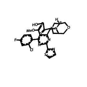 COC(=O)c1c(CN2C3COC[C@H]2CN(C(=O)CO)C3)nc(-c2nccs2)nc1-c1ccc(F)cc1Cl